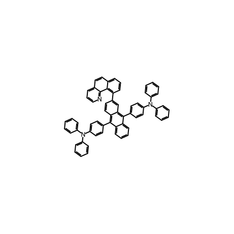 c1ccc(N(c2ccccc2)c2ccc(-c3c4ccccc4c(-c4ccc(N(c5ccccc5)c5ccccc5)cc4)c4cc(-c5cccc6ccc7cccnc7c56)ccc34)cc2)cc1